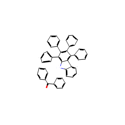 O=C(c1ccccc1)c1ccccc1.c1ccc(-c2c(-c3ccccc3)c(-c3ccccc3)c3c([nH]c4ccccc43)c2-c2ccccc2)cc1